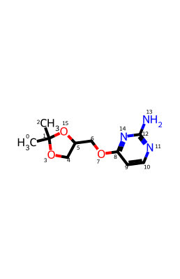 CC1(C)OCC(COc2ccnc(N)n2)O1